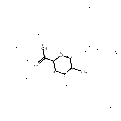 NC1CCC(C(=O)O)OC1